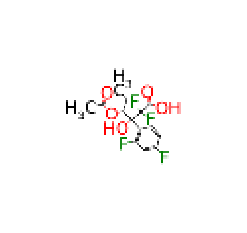 CCC(OC(C)=O)C(O)(c1ccc(F)cc1F)C(F)(F)C(=O)O